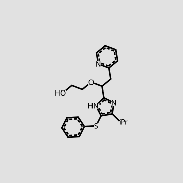 CC(C)c1nc(C(Cc2ccccn2)OCCO)[nH]c1Sc1ccccc1